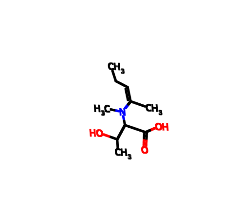 CCC=C(C)N(C)C(C(=O)O)C(C)O